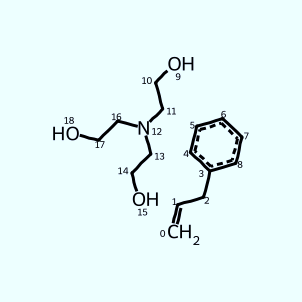 C=CCc1ccccc1.OCCN(CCO)CCO